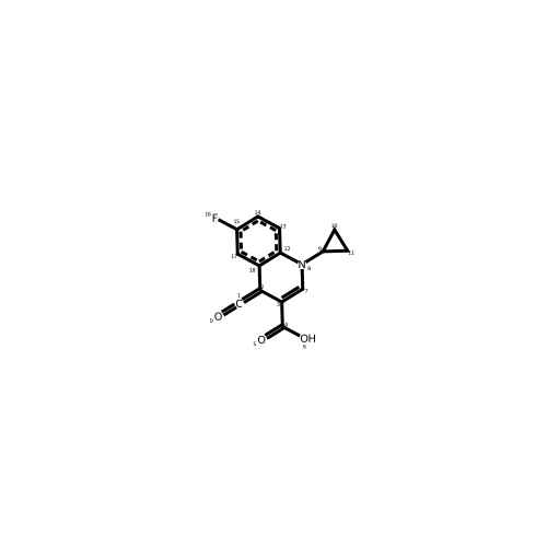 O=C=C1C(C(=O)O)=CN(C2CC2)c2ccc(F)cc21